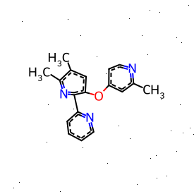 Cc1cc(Oc2cc(C)c(C)nc2-c2ccccn2)ccn1